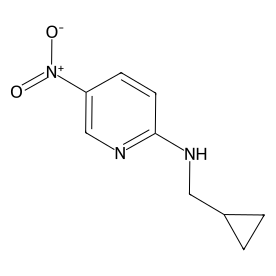 O=[N+]([O-])c1ccc(NCC2CC2)nc1